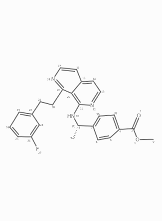 COC(=O)c1ccc([C@H](C)Nc2nccc3ccnc(CCc4cccc(F)c4)c23)cc1